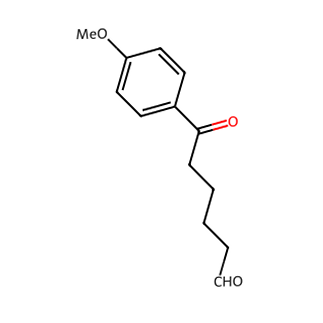 COc1ccc(C(=O)CCCCC=O)cc1